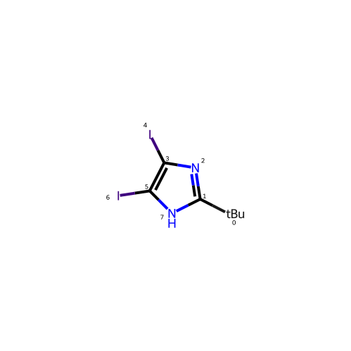 CC(C)(C)c1nc(I)c(I)[nH]1